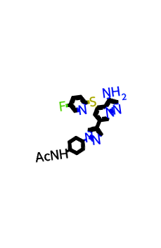 CC(=O)N[C@H]1CC[C@@H](n2cc(-c3cc(Sc4ccc(F)cn4)c4c(N)cnn4c3)cn2)CC1